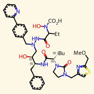 CCC(C(=O)NN(Cc1ccc(-c2ccccn2)cc1)C[C@H](O)[C@H](Cc1ccccc1)NC(=O)[C@H]([C@@H](C)CC)N1CCN(Cc2csc(COC)n2)C1=O)N(O)C(=O)O